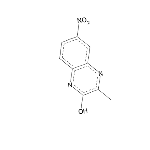 Cc1nc2cc([N+](=O)[O-])ccc2nc1O